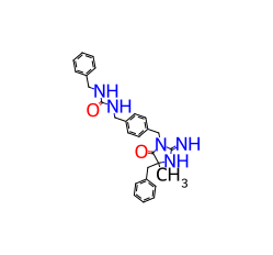 CC1(Cc2ccccc2)NC(=N)N(Cc2ccc(CNC(=O)NCc3ccccc3)cc2)C1=O